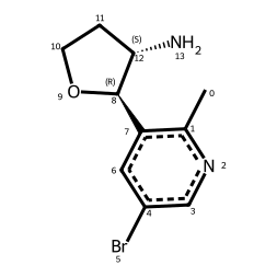 Cc1ncc(Br)cc1[C@H]1OCC[C@@H]1N